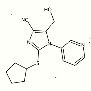 N#Cc1nc(SC2CCCC2)n(-c2cccnc2)c1CO